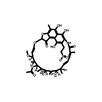 CO[C@H]1/C=C/O[C@@]2(C)Oc3c(C)c(O)c4c(O)c(c(CC[N+](=O)[O-])c(O)c4c3C2=O)NC(=O)/C(C)=C\C=C\[C@H](C)[C@H](O)[C@@H](C)[C@@H](O)[C@@H](C)[C@H](OC(C)=O)[C@@H]1C